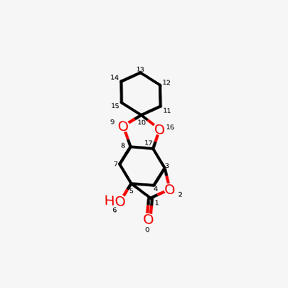 O=C1OC2CC1(O)CC1OC3(CCCCC3)OC21